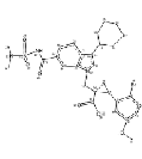 COc1ccc(Br)c(C2CC2(Cn2cc(C3CCCCC3)c3ccc(C(=O)NS(=O)(=O)N(C)C)cc32)C(=O)O)c1